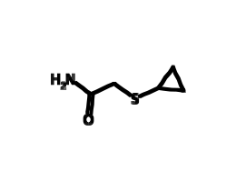 NC(=O)CSC1CC1